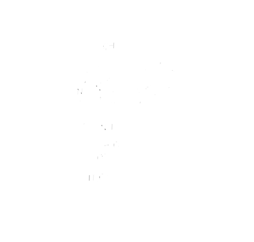 CCCCc1nc2ccc(NCC(=O)OCC)cc2n1Cc1cccc(-c2ccccc2)c1